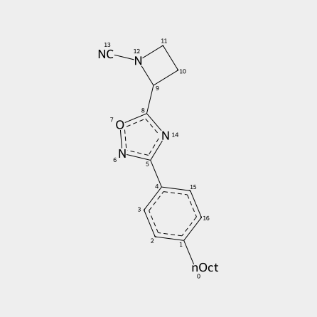 CCCCCCCCc1ccc(-c2noc(C3CCN3C#N)n2)cc1